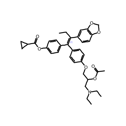 CC/C(=C(/c1ccc(OCC(CN(CC)CC)OC(C)=O)cc1)c1ccc(OC(=O)C2CC2)cc1)c1ccc2c(c1)OCO2